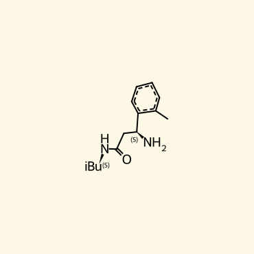 CC[C@H](C)NC(=O)C[C@H](N)c1ccccc1C